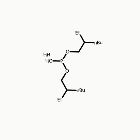 CCCCC(CC)COP(O)OCC(CC)CCCC.[HH]